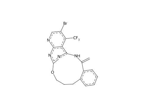 C=C1Nc2nc(nc3ncc(Br)c(C(F)(F)F)c23)OCCCc2ccccc21